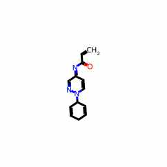 C=CC(=O)N=c1ccn(C2C=CCC=C2)nc1